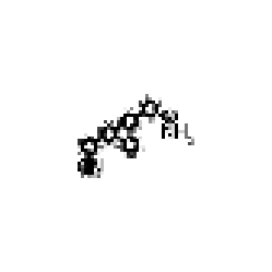 NC1OC1c1cccc(-c2ccc3c4ccc(-c5cccc(-c6ncco6)c5)cc4c4ccccc4c3c2)c1